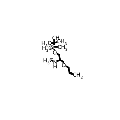 C=CCOCC(CO[Si](C)(C)C(C)(C)C)NC